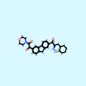 CC(=O)ON=C(CC1CCCCC1)C(=O)c1ccc2c(c1)Cc1ccc(C(=O)C(=O)N3CCOCC3)cc1-2